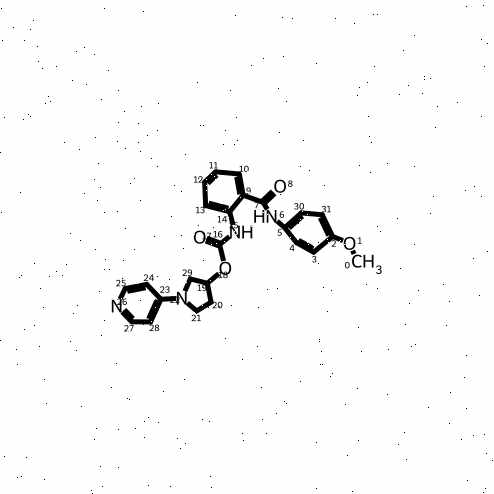 COc1ccc(NC(=O)c2ccccc2NC(=O)OC2CCN(c3ccncc3)C2)cc1